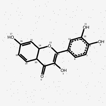 O=C1C(O)=C(c2ccc(O)c(O)c2)OC2C=C(O)C=CC12